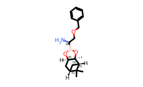 CC1(C)[C@@H]2C[C@H]3OB([C@@H](N)COCc4ccccc4)O[C@@]3(C)[C@H]1C2